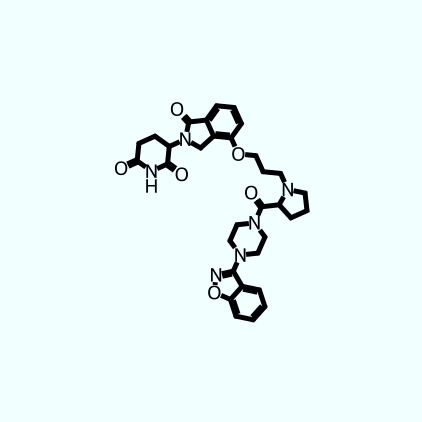 O=C1CCC(N2Cc3c(OCCCN4CCCC4C(=O)N4CCN(c5noc6ccccc56)CC4)cccc3C2=O)C(=O)N1